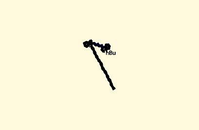 C#CC#CC#CC#CC#CC#CC#CC#CC#CC#CC#C[N+]1=C(/C=C/C=C/C=C2\C=CN(CCCC)c3ccccc32)C(C)(C)c2ccccc21